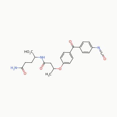 CC(CC(=O)NC(CCC(N)=O)C(=O)O)Oc1ccc(C(=O)c2ccc(N=C=O)cc2)cc1